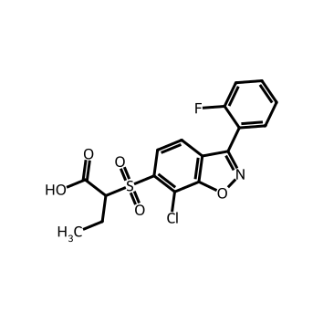 CCC(C(=O)O)S(=O)(=O)c1ccc2c(-c3ccccc3F)noc2c1Cl